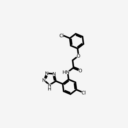 O=C(COc1cccc(Cl)c1)Nc1cc(Cl)ccc1-c1nnn[nH]1